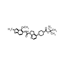 COc1c(NC(=O)N2CCc3c(N4CCN(C(=O)OC(C)(C)C)CC4)ccnc32)ccc2nn(C)cc12